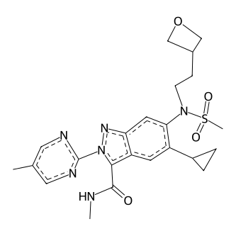 CNC(=O)c1c2cc(C3CC3)c(N(CCC3COC3)S(C)(=O)=O)cc2nn1-c1ncc(C)cn1